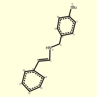 CC(C)(C)c1ccc(CNC=Cc2ccccc2)cc1